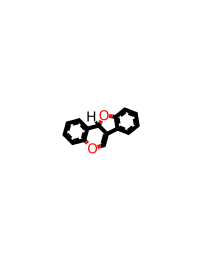 C1=C2c3ccccc3O[C@H]2c2ccccc2O1